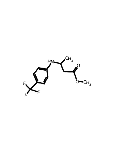 COC(=O)CC(C)Nc1ccc(C(F)(F)F)cc1